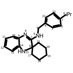 CC(C)c1ccc(CNC2=Nc3ccccc3NC23CCCCC3)cc1